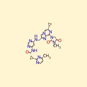 Cc1ccnc([C@H]2C[C@@H]2C(=O)Nc2cc(NCc3cn4cc(C5CC5)nc(N5CC(=O)N(C)C5=O)c4n3)ncn2)n1